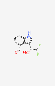 O=Cc1cccc2[nH]cc(C(O)C(F)F)c12